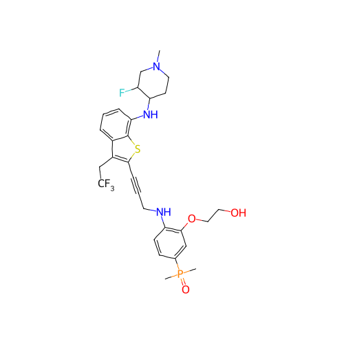 CN1CCC(Nc2cccc3c(CC(F)(F)F)c(C#CCNc4ccc(P(C)(C)=O)cc4OCCO)sc23)C(F)C1